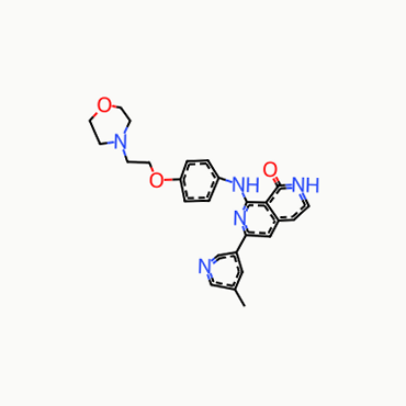 Cc1cncc(-c2cc3cc[nH]c(=O)c3c(Nc3ccc(OCCN4CCOCC4)cc3)n2)c1